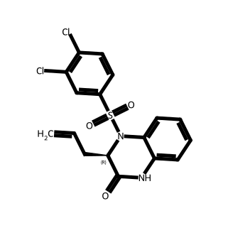 C=CC[C@@H]1C(=O)Nc2ccccc2N1S(=O)(=O)c1ccc(Cl)c(Cl)c1